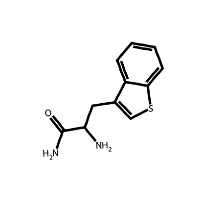 NC(=O)C(N)Cc1csc2ccccc12